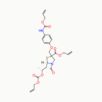 C=CCOC(=O)Nc1ccc(OCC2(C(=O)OCC=C)CN3C(=O)[C@H]([C@@H](C)OC(=O)OCC=C)[C@H]3S2)cc1